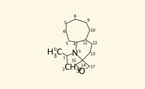 CC(C)N1C2CCCCCCC2CCC12COC2